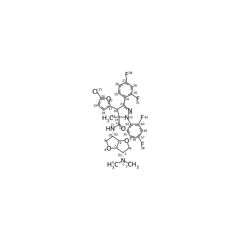 CN(C)[C@H]1COC2C1OC[C@@H]2NC(=O)C1(C)C(c2ccc(Cl)o2)C(c2ccc(F)cc2F)=NN1c1ccc(F)cc1F